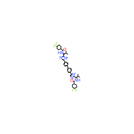 CC(C)[C@H](NC(=O)C1CCC(F)(F)CC1)c1ncc(-c2ccc(-c3ccc(-c4cnc([C@@H](NC(=O)C5CCC(F)(F)CC5)C(C)C)n4C)cc3)cc2)n1C